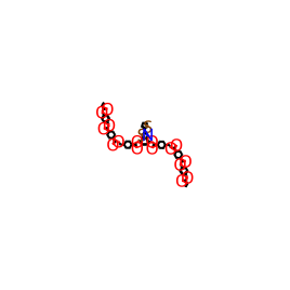 C=CC(=O)Oc1ccc(OC(=O)C2CCC(C(=O)OCC3CCC(C(=O)Oc4ccc(OC(=O)C5CCC(COC(=O)C6CCC(C(=O)Oc7ccc(OC(=O)C=C)cc7)CC6)CC5)c5sc(-c6cccs6)nc45)CC3)CC2)cc1